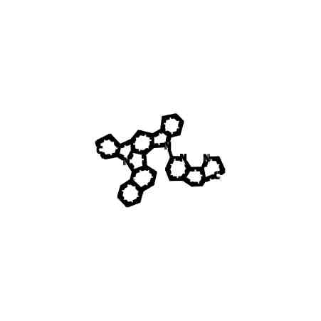 c1ccc2c(c1)ccc1c3c4c(cc5c6ccccc6n(c21)c53)c1ccccc1n4-c1ccc2ccc3cccnc3c2n1